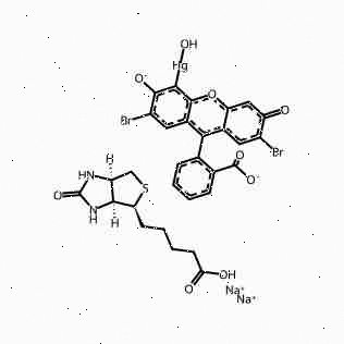 O=C(O)CCCC[C@@H]1SC[C@@H]2NC(=O)N[C@@H]21.O=C([O-])c1ccccc1-c1c2cc(Br)c(=O)cc-2oc2[c]([Hg][OH])c([O-])c(Br)cc12.[Na+].[Na+]